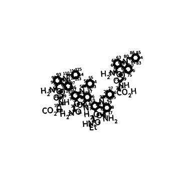 CCNC(=O)COc1cccc2c1c1c(C(N)=O)cccc1n2Cc1ccccc1.NC(=O)COc1cccc2c1c1c(C(N)=O)cccc1n2Cc1ccccc1.NC(=O)c1cccc2c1c1c(OCC(=O)NCC(=O)O)cccc1n2Cc1ccccc1.NC(=O)c1cccc2c1c1c(OCC(=O)NCC(=O)O)cccc1n2Cc1ccccc1